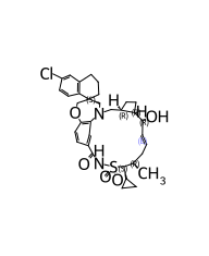 C[C@@H]1C/C=C/[C@H](O)[C@@H]2CC[C@H]2CN2C[C@@]3(CCCc4cc(Cl)ccc43)COc3ccc(cc32)C(=O)NS(=O)(=O)[C@@H]1C1CC1